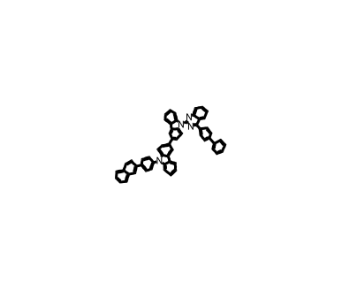 c1ccc(-c2ccc(-c3nc(-n4c5ccccc5c5cc(-c6ccc7c(c6)c6ccccc6n7-c6ccc(-c7ccc8ccccc8c7)cc6)ccc54)nc4ccccc34)cc2)cc1